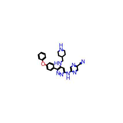 N#Cc1cnc(Nc2cc(NCC3CCNCC3)c(-c3ccc(Oc4ccccc4)cc3)nn2)cn1